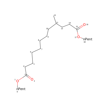 CCCCCOC(=O)CCCCCCCC(C)CCC(=O)OCCCCC